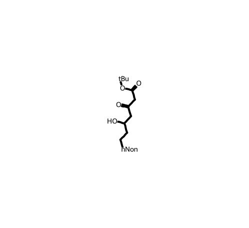 CCCCCCCCCCCC(O)CC(=O)CC(=O)OC(C)(C)C